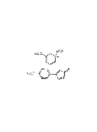 CC1(C(=O)O)C=CC=C(C(=O)O)C1.O=C1C=C(c2ccc(S(=O)(=O)O)cc2)N=N1